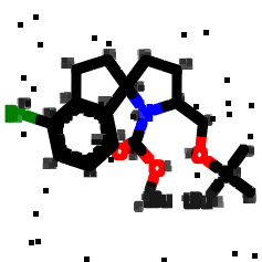 CC(C)(C)OC(=O)N1C(CO[Si](C)(C)C(C)(C)C)CCC12CCc1c(Br)cccc12